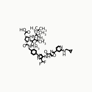 CC(C)(C)OC(=O)NC(C(=O)N1C[C@@H](CC(=O)O)C[C@H]1C(=O)NCc1ccc(-n2cc(NC(=O)c3coc(-c4ccnc(NCC5CC5)c4)n3)c(C(F)F)n2)cc1)C(C)(C)C